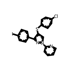 Clc1ccc(Sc2cn(-c3ccccn3)nc2-c2ccc(I)cc2)cc1